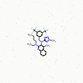 CCCCN(CC)c1nc2ccccc2c(C)c1N(Cc1cc(C(F)(F)F)cc(C(F)(F)F)c1)c1nnn(C)n1